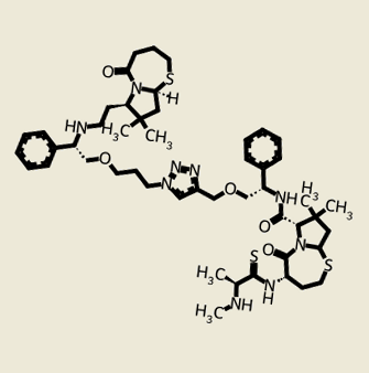 CN[C@@H](C)C(=S)N[C@H]1CCSC2CC(C)(C)[C@@H](C(=O)N[C@H](COCc3cn(CCCOC[C@@H](NCC[C@H]4N5C(=O)CCCS[C@H]5CC4(C)C)c4ccccc4)nn3)c3ccccc3)N2C1=O